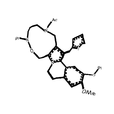 COc1cc2c(cc1OC(C)C)-c1c(-c3cccs3)c3c(n1CC2)CON(C(C)C)CCN(C(C)=O)C3